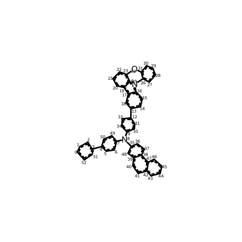 c1ccc(-c2ccc(N(c3ccc(-c4ccc5c(c4)c4cccc6c4n5-c4ccccc4O6)cc3)c3ccc4c(ccc5ccccc54)c3)cc2)cc1